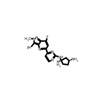 CC(C)c1c2nc(-c3ccnc(N[C@@]4(N)CC[C@H](N)C4)n3)cc(F)c2nn1C